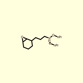 CCCO[SiH](CCCC1CCCC2OC12)OCCC